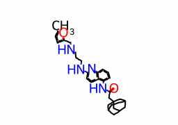 Cc1ccc(CNCCCNc2ccc3c(NC(=O)CC45CC6CC(CC(C6)C4)C5)cccc3n2)o1